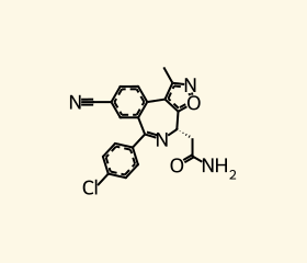 Cc1noc2c1-c1ccc(C#N)cc1C(c1ccc(Cl)cc1)=N[C@H]2CC(N)=O